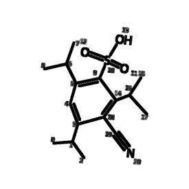 CC(C)c1cc(C(C)C)c(S(=O)(=O)O)c(C(C)C)c1C#N